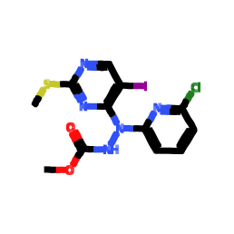 COC(=O)NN(c1cccc(Cl)n1)c1nc(SC)ncc1I